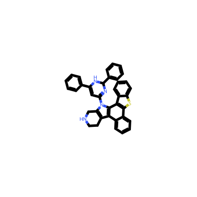 C1=C(c2ccccc2)NC(c2ccccc2)N=C1n1c2c(c3c4ccccc4c4sc5ccccc5c4c31)CCNC2